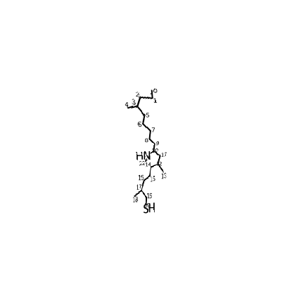 CCCC(C)CCCCCC(CC(C)CCCC(C)CS)NC